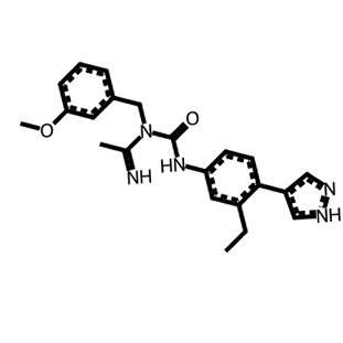 CCc1cc(NC(=O)N(Cc2cccc(OC)c2)C(C)=N)ccc1-c1cn[nH]c1